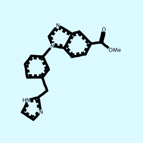 COC(=O)c1ccc2c(c1)ncn2-c1cccc(Cc2ncc[nH]2)c1